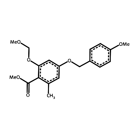 COCOc1cc(OCc2ccc(OC)cc2)cc(C)c1C(=O)OC